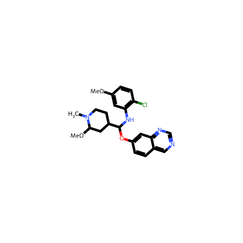 COc1ccc(Cl)c(NC(Oc2ccc3cncnc3c2)C2CCN(C)C(OC)C2)c1